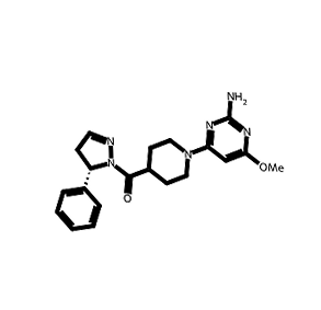 COc1cc(N2CCC(C(=O)N3N=CC[C@H]3c3ccccc3)CC2)nc(N)n1